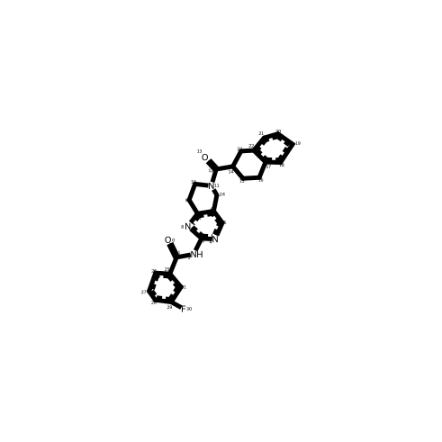 O=C(Nc1ncc2c(n1)CCN(C(=O)C1CCc3ccccc3C1)C2)c1cccc(F)c1